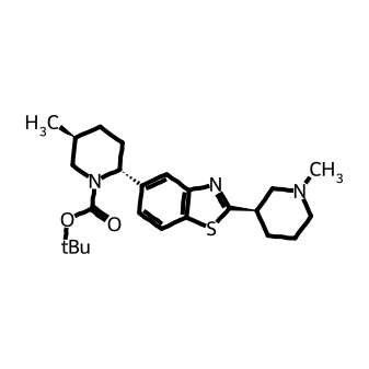 C[C@H]1CC[C@H](c2ccc3sc([C@@H]4CCCN(C)C4)nc3c2)N(C(=O)OC(C)(C)C)C1